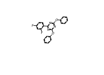 Fc1ccc(-c2nc(Oc3ccccc3)nc(Oc3ccccc3)n2)c(F)c1